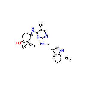 Cc1cccc2c(CCNc3ncc(C#N)c(N[C@@H]4CC[C@H](O)C(C)(C)C4)n3)c[nH]c12